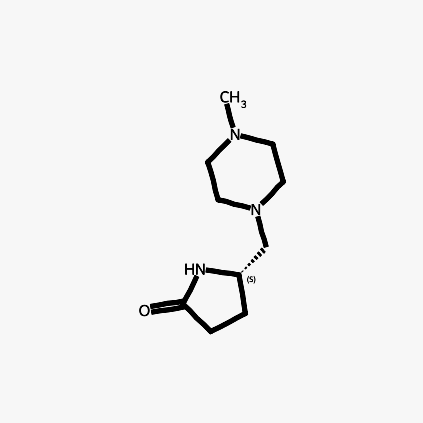 CN1CCN(C[C@@H]2CCC(=O)N2)CC1